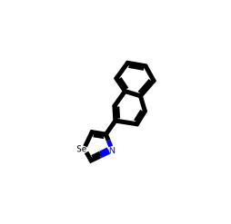 [c]1nc(-c2ccc3ccccc3c2)c[se]1